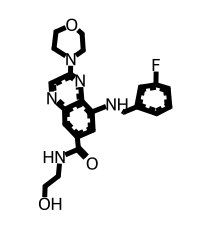 O=C(NCCO)c1cc(NCc2cccc(F)c2)c2nc(N3CCOCC3)cnc2c1